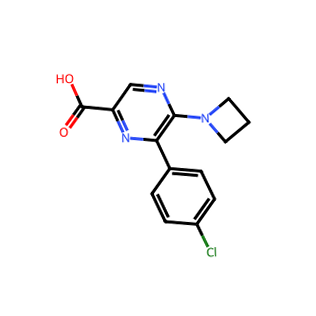 O=C(O)c1cnc(N2CCC2)c(-c2ccc(Cl)cc2)n1